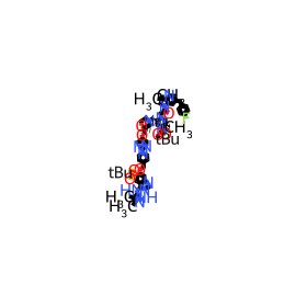 Cc1n[nH]c(Nc2ncnc3cc(OCC4CCN(c5ncc(OC[C@H]6CN(C[C@H]7CN(C(=O)OC(C)(C)C)[C@H](C)CN7CC(=O)N7CC(C)(C)c8ncc(Cc9ccc(F)cc9)cc87)CCO6)cn5)CC4)c(S(=O)(=O)C(C)(C)C)cc23)c1C